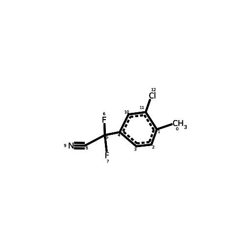 Cc1ccc(C(F)(F)C#N)cc1Cl